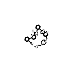 COCCN1CCN(Cc2cnc3sc(-c4ccccc4NC(=O)c4cccc(-c5ccccc5C#N)n4)nc3c2)CC1